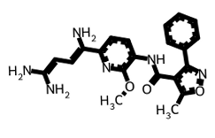 COc1nc(/C(N)=C/C=C(N)N)ccc1NC(=O)c1c(-c2ccccc2)noc1C